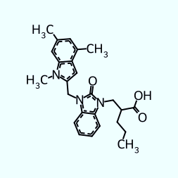 CCCC(Cn1c(=O)n(Cc2cc3c(C)cc(C)cc3n2C)c2ccccc21)C(=O)O